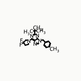 Cc1ccc(Cn2cnc3c(N4CCC(F)(F)C4)nc(C(C)(C)C)nc32)cc1